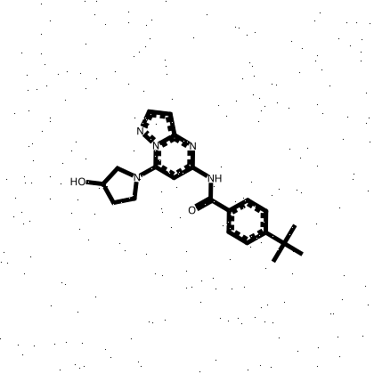 CC(C)(C)c1ccc(C(=O)Nc2cc(N3CCC(O)C3)n3nccc3n2)cc1